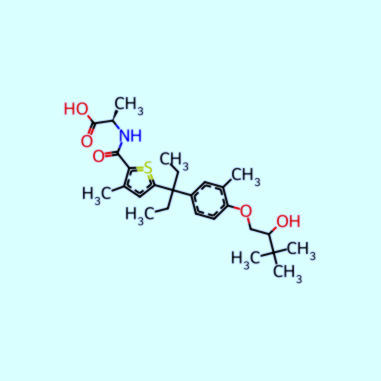 CCC(CC)(c1ccc(OCC(O)C(C)(C)C)c(C)c1)c1cc(C)c(C(=O)N[C@H](C)C(=O)O)s1